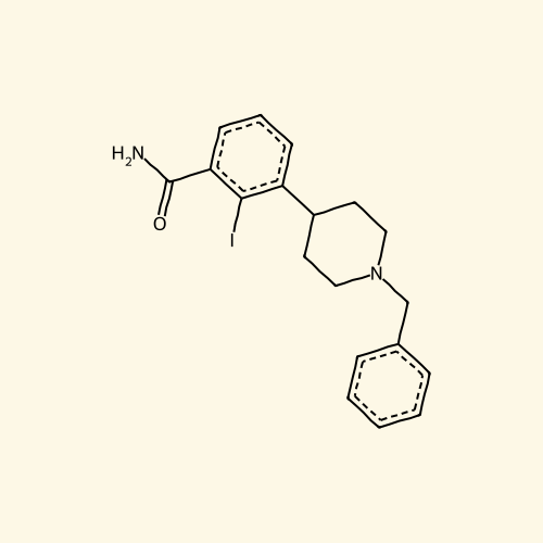 NC(=O)c1cccc(C2CCN(Cc3ccccc3)CC2)c1I